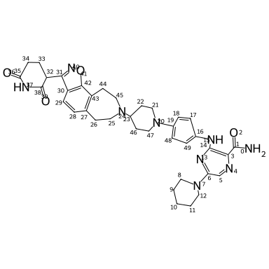 NC(=O)c1ncc(N2CCCCC2)nc1Nc1ccc(N2CCC(N3CCc4ccc5c(C6CCC(=O)NC6=O)noc5c4CC3)CC2)cc1